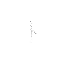 O=C=NCCCC(CCCN=C=O)N=C=O